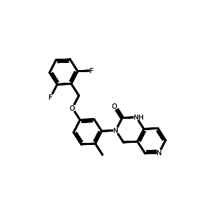 Cc1ccc(OCc2c(F)cccc2F)cc1N1Cc2cnccc2NC1=O